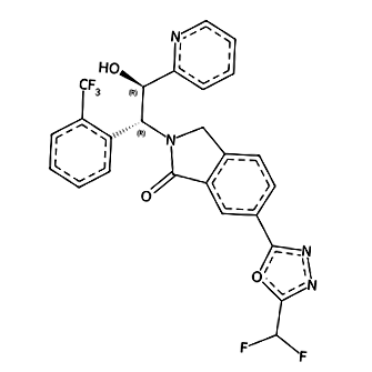 O=C1c2cc(-c3nnc(C(F)F)o3)ccc2CN1[C@H](c1ccccc1C(F)(F)F)[C@@H](O)c1ccccn1